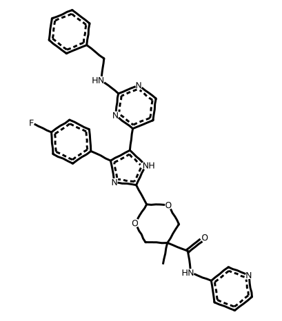 CC1(C(=O)Nc2cccnc2)COC(c2nc(-c3ccc(F)cc3)c(-c3ccnc(NCc4ccccc4)n3)[nH]2)OC1